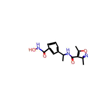 Cc1noc(C)c1C(=O)NC(C)c1cccc(C(=O)NO)c1